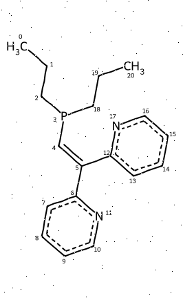 CCCP(C=C(c1ccccn1)c1ccccn1)CCC